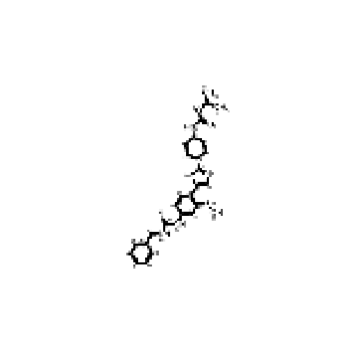 CC(C)OC(=O)N[C@H]1CC[C@@H](c2ncc(-c3ccc(NC(=O)NCc4ccccc4)cc3SO)s2)CC1